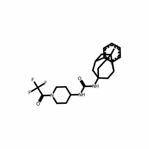 O=C(NC1CCN(C(=O)C(F)(F)F)CC1)NC12CC3CC(Cl)(CC(C1)c1ccccc13)C2